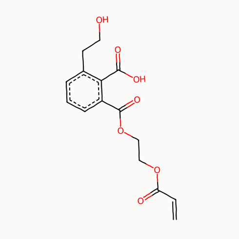 C=CC(=O)OCCOC(=O)c1cccc(CCO)c1C(=O)O